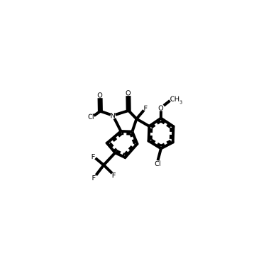 COc1ccc(Cl)cc1C1(F)C(=O)N(C(=O)Cl)c2cc(C(F)(F)F)ccc21